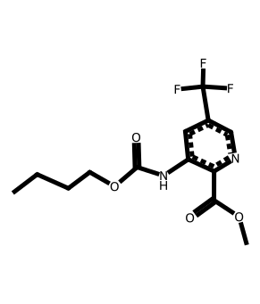 CCCCOC(=O)Nc1cc(C(F)(F)F)cnc1C(=O)OC